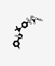 CC(C)(C)OC(=O)N(C(C)(C)C)S(=O)(=O)c1ccc([C@H]2[C@H](c3cnc(-c4cccc(F)c4)[nH]3)C2(C)C)cc1